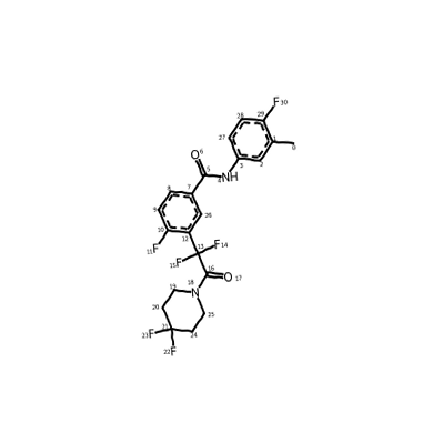 Cc1cc(NC(=O)c2ccc(F)c(C(F)(F)C(=O)N3CCC(F)(F)CC3)c2)ccc1F